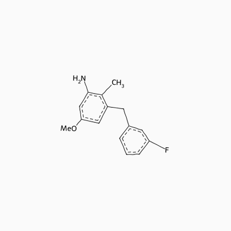 COc1cc(N)c(C)c(Cc2cccc(F)c2)c1